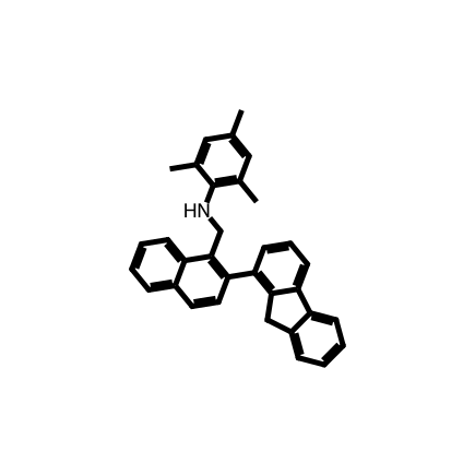 Cc1cc(C)c(NCc2c(-c3cccc4c3Cc3ccccc3-4)ccc3ccccc23)c(C)c1